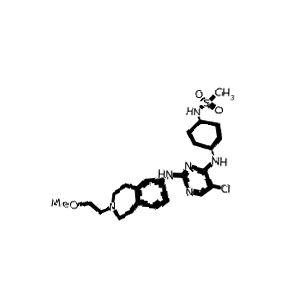 COCCN1CCc2ccc(Nc3ncc(Cl)c(N[C@H]4CC[C@@H](NS(C)(=O)=O)CC4)n3)cc2CC1